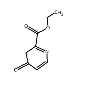 CCOC(=O)C1=NC=CC(=O)C1